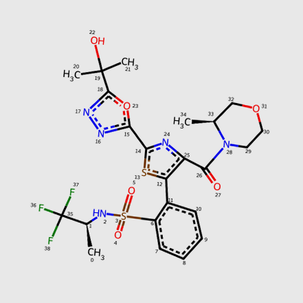 C[C@H](NS(=O)(=O)c1ccccc1-c1sc(-c2nnc(C(C)(C)O)o2)nc1C(=O)N1CCOC[C@@H]1C)C(F)(F)F